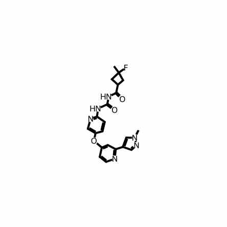 Cn1cc(-c2cc(Oc3ccc(NC(=O)NC(=O)C4CC(C)(F)C4)nc3)ccn2)cn1